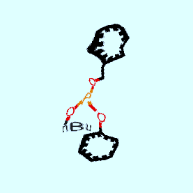 CCCCOP(OCc1ccccc1)Oc1ccccc1